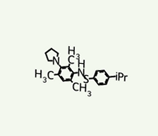 Cc1cc(C)c(N2CCCC2)c(C)c1NSc1ccc(C(C)C)cc1